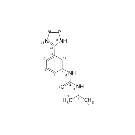 CC(C)NC(=O)Nc1cccc(C2=NCCN2)c1